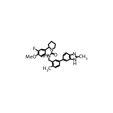 CCCN(Cc1cc(-c2ccc3nc(C)[nH]c3c2)ccc1C)C(=O)N1CCCCC1c1ccc(OC)c(F)c1